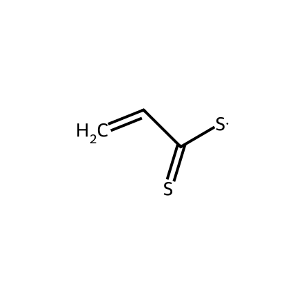 C=CC([S])=S